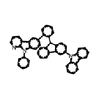 c1ccc(-n2c3ccc(-c4ccccc4C4c5ccccc5-c5cc(-n6c7ccccc7c7ccccc76)ccc54)cc3c3cccnc32)cc1